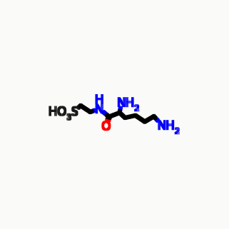 NCCCCC(N)C(=O)NCCS(=O)(=O)O